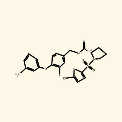 O=C(NCc1ccc(Oc2cccc(C(F)(F)F)c2)c(F)c1)[C@@H]1CCCN1S(=O)(=O)c1ccc(Cl)s1